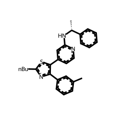 CCCCc1nc(-c2cccc(C)c2)c(-c2ccnc(N[C@H](C)c3ccccc3)c2)s1